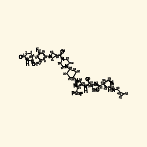 O=C1CC[C@H](c2c(F)cc(N3CC(C(=O)N4CCN(C5CCC(n6cc(NC(=O)c7coc(-c8ccnc(NCC9CC9)c8)n7)c(C(F)F)n6)CC5)CC4)C3)cc2F)C(=O)N1